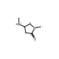 CNC1CC(=O)N(I)C1